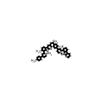 Cc1ccc(-c2cc[n+](C)c(-c3c(C)ccc4c3oc3ncc(CC(C)c5ccc(-c6cc[n+](C)c(-c7c(C)ccc8c7oc7ncccc78)c6)cc5)cc34)c2)cc1